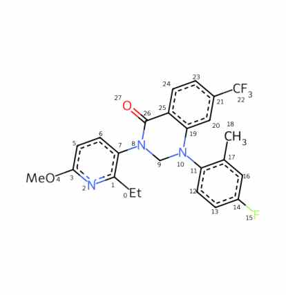 CCc1nc(OC)ccc1N1CN(c2ccc(F)cc2C)c2cc(C(F)(F)F)ccc2C1=O